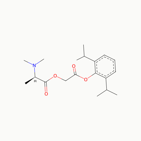 CC(C)c1cccc(C(C)C)c1OC(=O)COC(=O)[C@@H](C)N(C)C